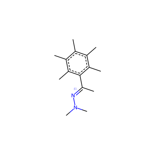 C/C(=N\N(C)C)c1c(C)c(C)c(C)c(C)c1C